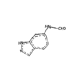 O=CNc1ccc2cn[nH]c2c1